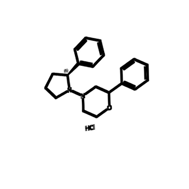 Cl.c1ccc(C2CN(N3CCC[C@H]3c3ccccc3)CCO2)cc1